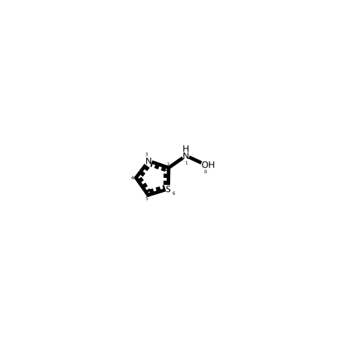 ONc1nccs1